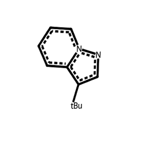 CC(C)(C)c1cnn2ccccc12